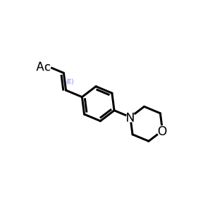 CC(=O)/C=C/c1ccc(N2CCOCC2)cc1